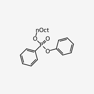 CCCCCCCCOP(=O)(Oc1ccccc1)c1ccccc1